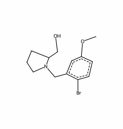 COc1ccc(Br)c(CN2CCCC2CO)c1